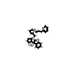 C[N+]1(CCCc2ccccn2)CCCC1COC(=O)C(O)(c1ccccc1)C1CCCC1